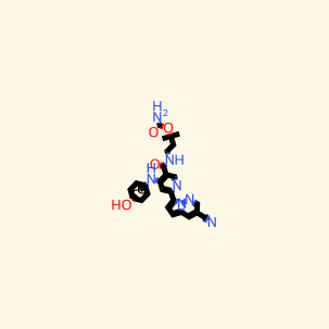 CC(C)(CCNC(=O)c1cnc(-c2ccc3cc(C#N)cnn23)cc1NC12CCC(O)(CC1)CC2)OC(N)=O